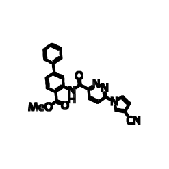 COC(=O)c1ccc(-c2ccccc2)cc1NC(=O)c1ccc(-n2ccc(C#N)c2)nn1